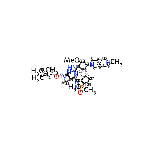 COc1cc(N2CCC3(CCN(C)CC3)CC2)ccc1Nc1nc(Nc2ccccc2P(C)(C)=O)c2ccn(COCC[Si](C)(C)C)c2n1